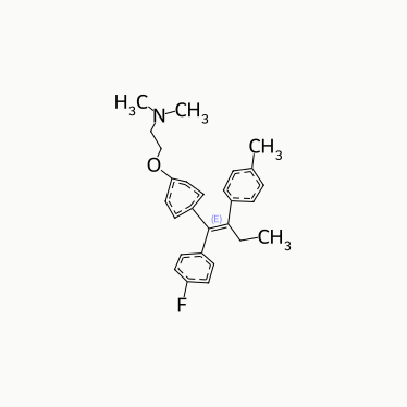 CC/C(=C(\c1ccc(F)cc1)c1ccc(OCCN(C)C)cc1)c1ccc(C)cc1